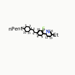 CCCCCC1CCC(CCc2ccc(-c3ccc(CC)cn3)c(F)c2)CC1